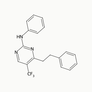 FC(F)(F)c1cnc(Nc2ccccc2)nc1CCc1ccccc1